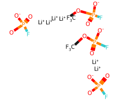 O=P([O-])(F)OC(F)(F)F.O=P([O-])(F)OC(F)(F)F.O=P([O-])([O-])F.O=P([O-])([O-])F.[Li+].[Li+].[Li+].[Li+].[Li+].[Li+]